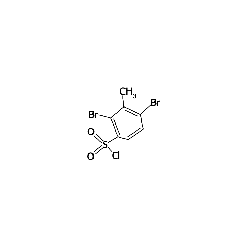 Cc1c(Br)ccc(S(=O)(=O)Cl)c1Br